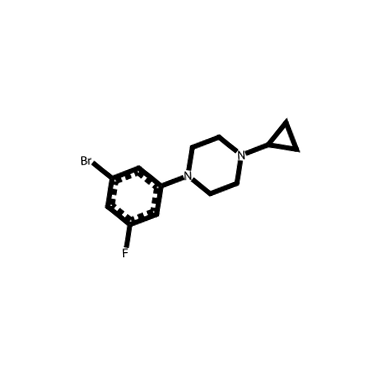 Fc1cc(Br)cc(N2CCN(C3CC3)CC2)c1